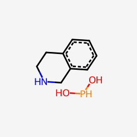 OPO.c1ccc2c(c1)CCNC2